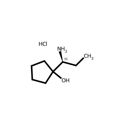 CC[C@H](N)C1(O)CCCC1.Cl